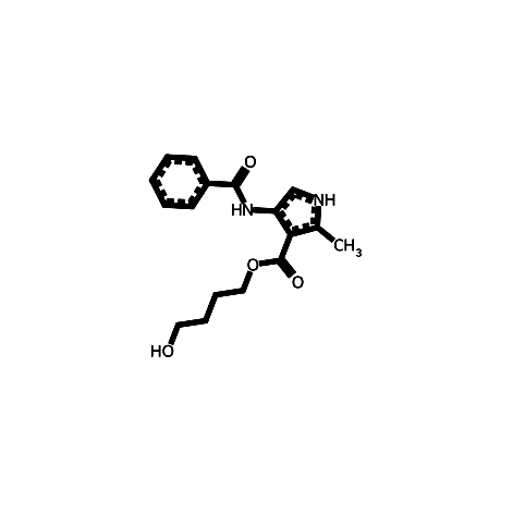 Cc1[nH]cc(NC(=O)c2ccccc2)c1C(=O)OCCCCO